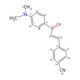 CN(C)c1ccc(C(=O)C=Cc2ccc(C#N)cc2)cc1